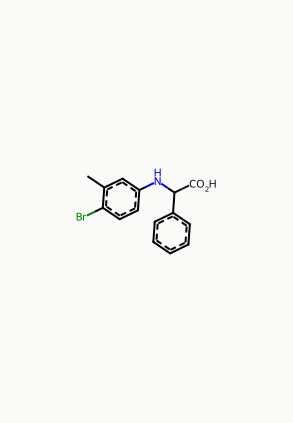 Cc1cc(NC(C(=O)O)c2ccccc2)ccc1Br